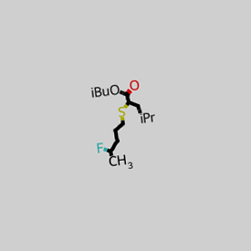 CC(C)COC(=O)C(CC(C)C)SCCCC(C)F